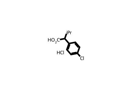 CC(C)C(C(=O)O)c1ccc(Cl)cc1.Cl